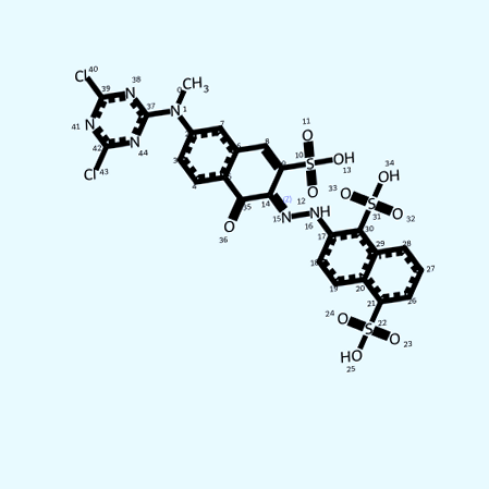 CN(c1ccc2c(c1)C=C(S(=O)(=O)O)/C(=N\Nc1ccc3c(S(=O)(=O)O)cccc3c1S(=O)(=O)O)C2=O)c1nc(Cl)nc(Cl)n1